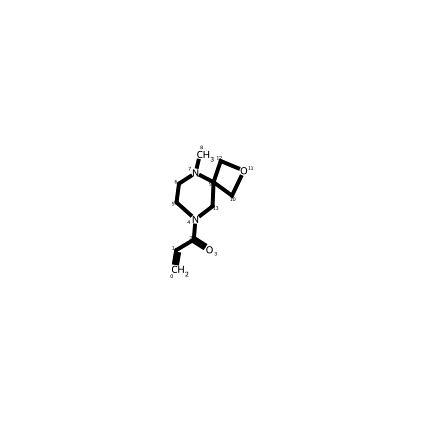 C=CC(=O)N1CCN(C)C2(COC2)C1